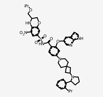 CC(C)OCC1COc2cc(S(=O)(=O)NC(=O)c3ccc(N4CCC5(CC4)CC(N4CCCC4c4ccccc4C(C)C)C5)cc3Oc3cnc4[nH]ccc4c3)cc([N+](=O)[O-])c2N1